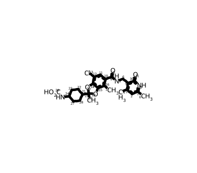 Cc1cc(C)c(CNC(=O)c2cc(Cl)c3c(c2C)OC(C)(C2CCC(NC(=O)O)CC2)O3)c(=O)[nH]1